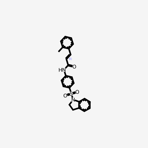 Cc1ccccc1/C=C/C(=O)Nc1ccc(S(=O)(=O)N2CCc3ccccc32)cc1